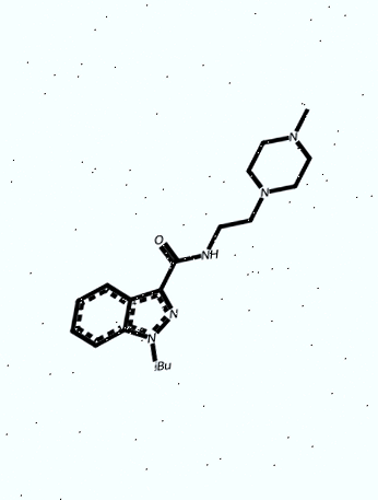 CCC(C)n1nc(C(=O)NCCN2CCN(C)CC2)c2ccccc21